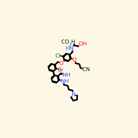 N#CCCCOc1cc(OCc2cccc(-c3cccc(NCCCCN4CCCC4)c3C=N)c2Br)c(Cl)cc1CNC(CO)C(=O)O